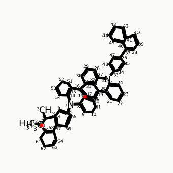 CCC(C)c1cc(N(C2=CCCC=C2)C2=C(C3=CC=C(c4ccccc4N(c4ccccc4)c4ccc(-c5cccc6ccccc56)cc4)CC3)CCC=C2)ccc1C1=C(C)CCC=C1